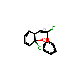 OC1(Cl)C=CC=CC1/C=C(/F)c1ccccc1